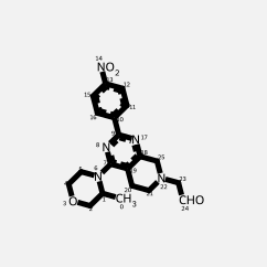 CC1COCCN1c1nc(-c2ccc([N+](=O)[O-])cc2)nc2c1CCN(CC=O)C2